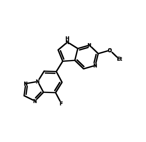 CCOc1ncc2c(-c3cc(F)c4ncnn4c3)c[nH]c2n1